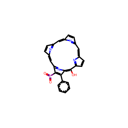 O=P(=O)C1=C(c2ccccc2)C2=C(O)C3=NC(=CC4=NC(=CC5=NC(=CC1=N2)C=C5)C=C4)C=C3